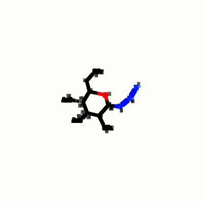 CC(=O)OCC1O[C@@H](N=[N+]=[N-])C(OC(C)=O)[C@@H](OC(C)=O)[C@@H]1OC(C)=O